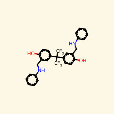 Oc1ccc(C(c2ccc(O)c(CNc3ccccc3)c2)(C(F)(F)F)C(F)(F)F)cc1CNc1ccccc1